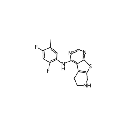 Cc1cc(Nc2ncnc3sc4c(c23)CCNC4)c(F)cc1F